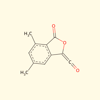 Cc1cc(C)c2c(c1)C(=C=O)OC2=O